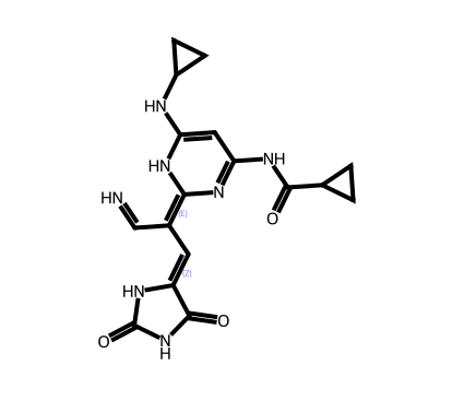 N=CC(/C=C1\NC(=O)NC1=O)=C1/N=C(NC(=O)C2CC2)C=C(NC2CC2)N1